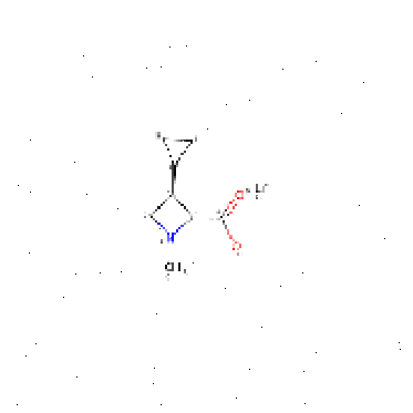 CN1C[C@@H](C2CC2)[C@@H]1C(=O)[O-].[Li+]